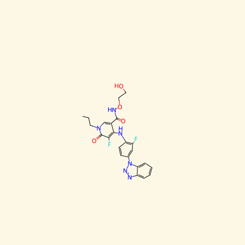 CCCn1cc(C(=O)NOCCO)c(Nc2ccc(-n3nnc4ccccc43)cc2F)c(F)c1=O